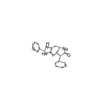 O=C1Nc2cc3c(cc2C1c1ccccc1)NC(c1cccnc1)N3